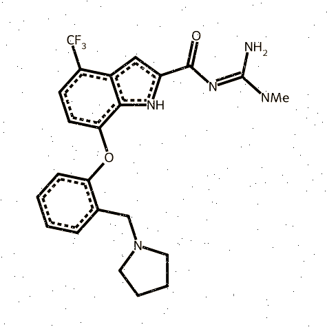 CNC(N)=NC(=O)c1cc2c(C(F)(F)F)ccc(Oc3ccccc3CN3CCCC3)c2[nH]1